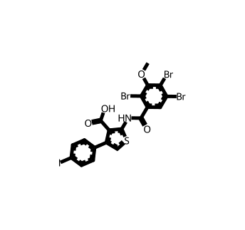 COc1c(Br)c(Br)cc(C(=O)Nc2scc(-c3ccc(I)cc3)c2C(=O)O)c1Br